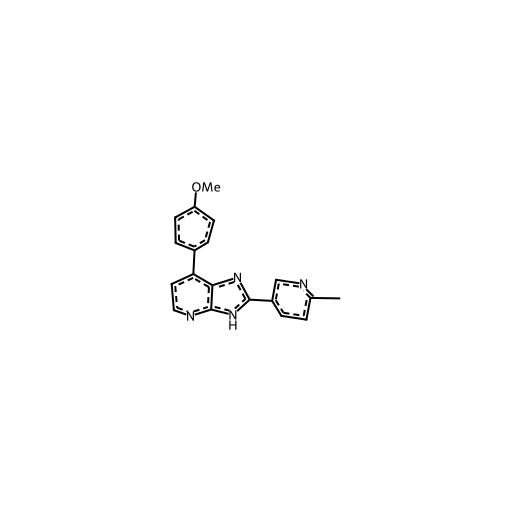 COc1ccc(-c2ccnc3[nH]c(-c4ccc(C)nc4)nc23)cc1